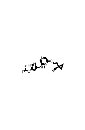 N#CC1(CCOc2cncc(Nc3cc(OC(F)F)[nH]n3)n2)CC1